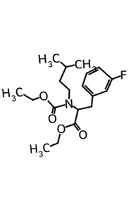 CCOC(=O)C(Cc1cccc(F)c1)N(CCC(C)C)C(=O)OCC